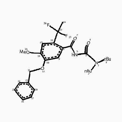 CCCCN(CCCC)C(=O)NC(=O)c1cc(OCc2ccccc2)c(OC)cc1C(C)(F)F